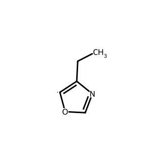 CCc1[c]ocn1